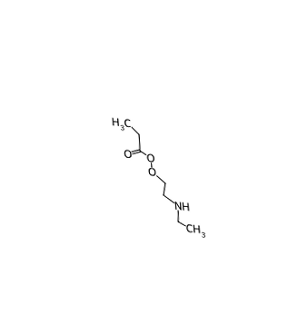 CCNCCOOC(=O)CC